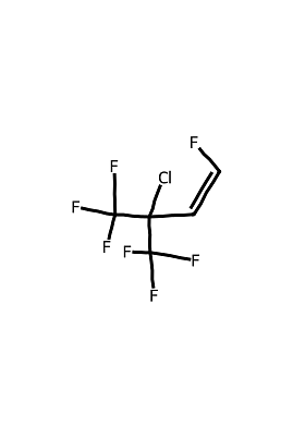 F/C=C\C(Cl)(C(F)(F)F)C(F)(F)F